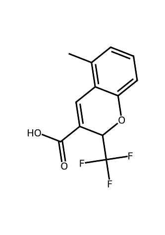 Cc1cccc2c1C=C(C(=O)O)C(C(F)(F)F)O2